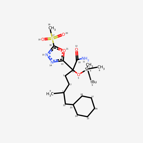 CC(C[CH]C(O[Si](C)(C)C(C)(C)C)(C(N)=O)c1nnc(S(C)(=O)=O)o1)CC1CCCCC1